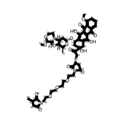 COc1cccc2c1C(=O)c1c(O)c3c(c(O)c1C2=O)C[C@@](O)(C(=O)CSC1CC(=O)N(CCOCCOCCOCCN2C(=O)CC(C)C2=O)C1=O)C[C@@H]3O[C@H]1C[C@H]2[C@H](O[C@@H]3[C@@H](OC)OCCN32)[C@H](C)O1